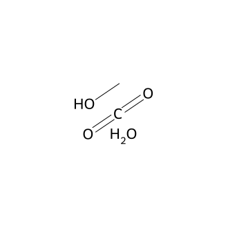 CO.O.O=C=O